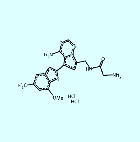 COc1cc(C)cc2cc(-c3cc(CNC(=O)CN)n4ncnc(N)c34)sc12.Cl.Cl